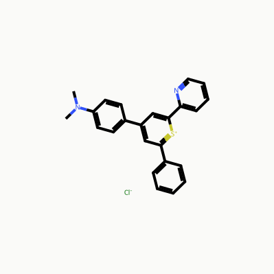 CN(C)c1ccc(-c2cc(-c3ccccc3)[s+]c(-c3ccccn3)c2)cc1.[Cl-]